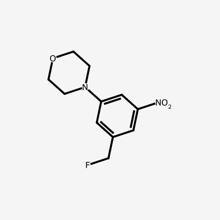 O=[N+]([O-])c1cc(CF)cc(N2CCOCC2)c1